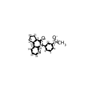 C[S+]([O-])c1cccc(-n2c(=O)c3c(c4cccnc42)SCC3)c1